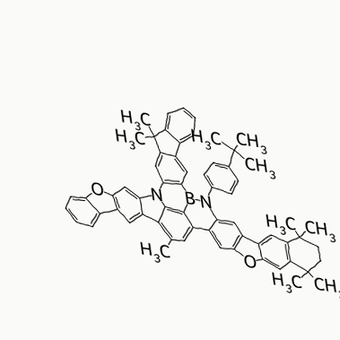 Cc1cc2c3c4c1c1cc5c(cc1n4-c1cc4c(cc1B3N(c1ccc(C(C)(C)C)cc1)c1cc3c(cc1-2)oc1cc2c(cc13)C(C)(C)CCC2(C)C)-c1ccccc1C4(C)C)oc1ccccc15